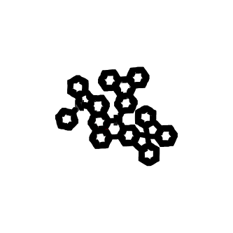 c1ccc(-c2cc3c(cc2N(c2ccc4c5ccccc5c5ccccc5c4c2)c2cccc4c2ccc2c5ccccc5n(-c5ccccc5)c42)C2(c4ccccc4-c4ccccc42)c2ccccc2-3)cc1